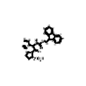 C#C[C@H]1CC[C@@H](C(=O)O)N1C(=O)C(CC=C)NC(=O)OCC1c2ccccc2-c2ccccc21